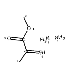 COC(=O)C(C)=P.N.N